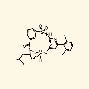 Cc1cccc(C)c1-c1cc2nc(n1)NS(=O)(=O)c1cccc(c1)C(=O)N1C[C@@H](CCC1CC(C)C)O2